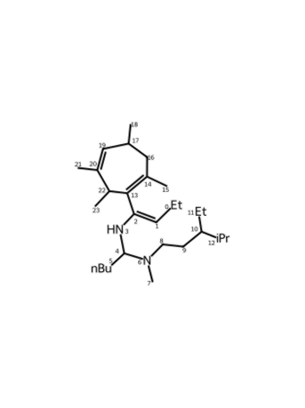 CC/C=C(/NC(CCCC)N(C)CCC(CC)C(C)C)C1=C(C)CC(C)C=C(C)C1C